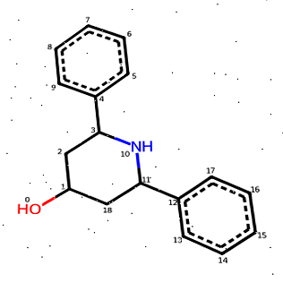 OC1CC(c2ccccc2)NC(c2ccccc2)C1